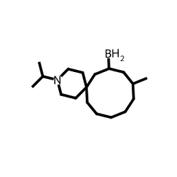 BC1CC(C)CCCCCC2(CCN(C(C)C)CC2)C1